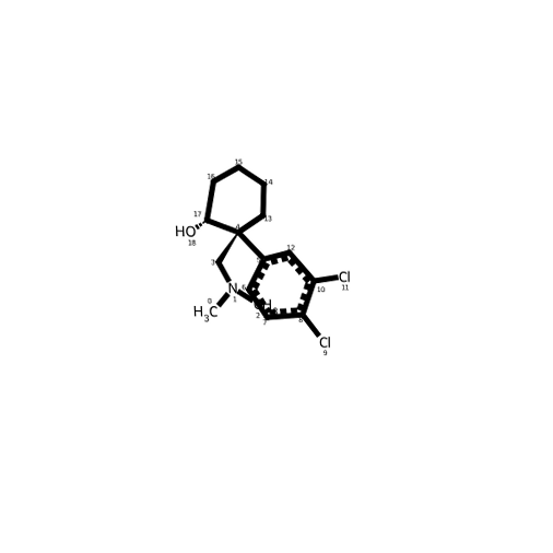 CN(C)C[C@]1(c2ccc(Cl)c(Cl)c2)CCCC[C@H]1O